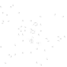 FC(F)(c1ccccc1)c1ccc(CNc2c(Cl)ccc3c2CCNCC3)cc1